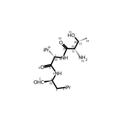 CC(C)C[C@@H]([C]=O)NC(=O)[C@@H](NC(=O)[C@@H](N)[C@@H](C)O)C(C)C